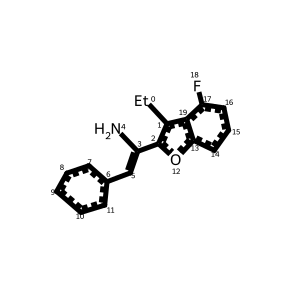 CCc1c(C(N)=Cc2ccccc2)oc2cccc(F)c12